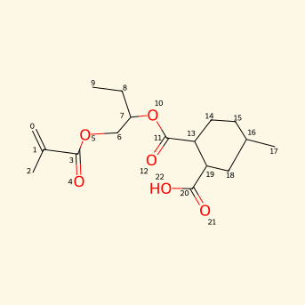 C=C(C)C(=O)OCC(CC)OC(=O)C1CCC(C)CC1C(=O)O